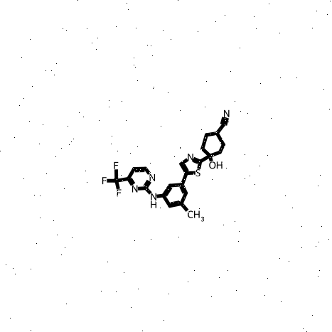 Cc1cc(Nc2nccc(C(F)(F)F)n2)cc(-c2cnc(C3(O)CCC(C#N)CC3)s2)c1